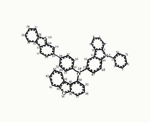 c1ccc(-n2c3ccccc3c3cc(N(c4ccc(-c5ccc6c(c5)sc5ccccc56)cc4)c4cccc5oc6ccccc6c45)ccc32)cc1